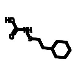 O=C(O)NSCCC1CCCCC1